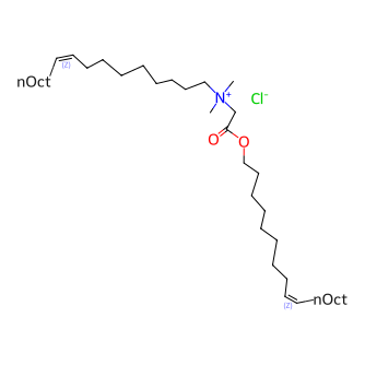 CCCCCCCC/C=C\CCCCCCCCOC(=O)C[N+](C)(C)CCCCCCCC/C=C\CCCCCCCC.[Cl-]